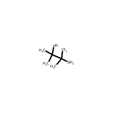 CCCC(C)(C)C(C)([SiH3])C(F)(F)F